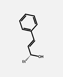 CC[C@@H](O)/C=C/c1ccccc1